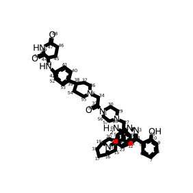 Nc1nnc(-c2ccccc2O)cc1N1CC2CCC(C1)N2c1cccc(CN2CCN(C(=O)CN3CCC(c4ccc(NC5CCC(=O)NC5=O)cc4)CC3)CC2)c1